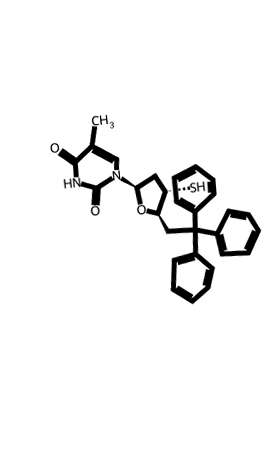 Cc1cn([C@H]2C[C@H](S)[C@@H](CC(c3ccccc3)(c3ccccc3)c3ccccc3)O2)c(=O)[nH]c1=O